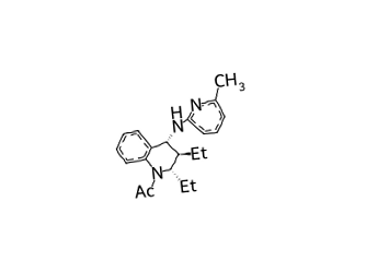 CC[C@@H]1[C@@H](Nc2cccc(C)n2)c2ccccc2N(C(C)=O)[C@H]1CC